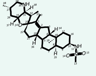 CC1=C2C[C@H]3C(CC[C@@H]4C[C@H](NS(C)(=O)=O)CC[C@@]43C)[C@@H]2CC[C@]12O[C@@H]1C[C@H](C)CN[C@H]1[C@H]2C